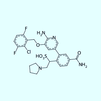 NC(=O)c1ccc(C(CN2CCCC2)S(=O)(=O)O)c(-c2cnc(N)c(OCc3c(F)ccc(F)c3Cl)c2)c1